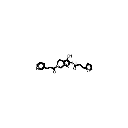 N#Cc1c(NC(=O)CCc2ccco2)sc2c1CCN(C(=O)CCc1cccnc1)C2